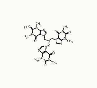 C=C1N(C)C(=O)c2c(ncn2CN(Cn2cnc3c2c(=O)n(C)c(=O)n3C)Cn2cnc3c2c(=O)n(C)c(=O)n3C)N1C